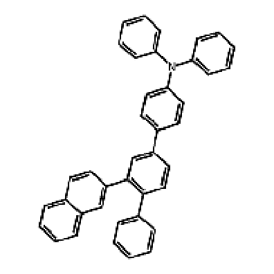 c1ccc(-c2ccc(-c3ccc(N(c4ccccc4)c4ccccc4)cc3)cc2-c2ccc3ccccc3c2)cc1